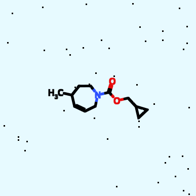 CC1C=CCN(C(=O)OCC2CC2)CC1